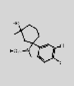 CN(C(=O)O)C1(c2ccc(Cl)c(Cl)c2)CCCC(C)(O)C1